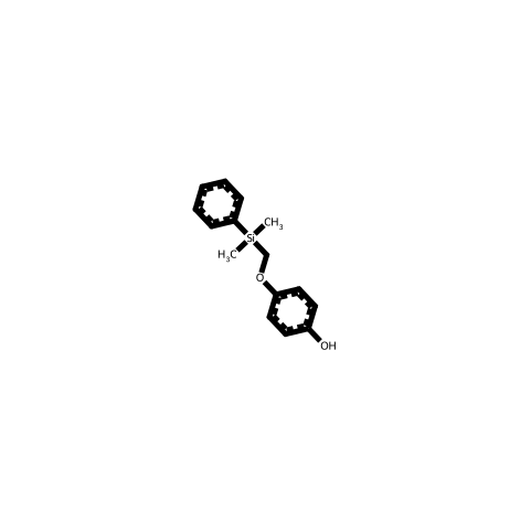 C[Si](C)(COc1ccc(O)cc1)c1ccccc1